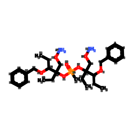 CCC(OCc1ccccc1)C(CC)(CON)OP(C)(=O)OC(CC)(CON)C(CC)OCc1ccccc1